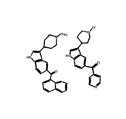 CCCCCCN1CCC(c2c[nH]c3ccc(C(=O)c4cccc5ccccc45)cc23)CC1.CCN1CCC(c2c[nH]c3ccc(C(=O)c4ccncc4)cc23)CC1